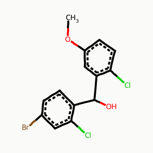 COc1ccc(Cl)c(C(O)c2ccc(Br)cc2Cl)c1